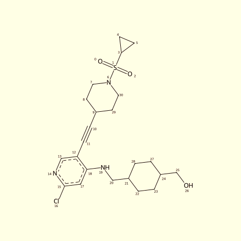 O=S(=O)(C1CC1)N1CCC(C#Cc2cnc(Cl)cc2NCC2CCC(CO)CC2)CC1